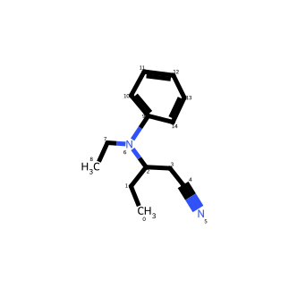 CCC(CC#N)N(CC)c1ccccc1